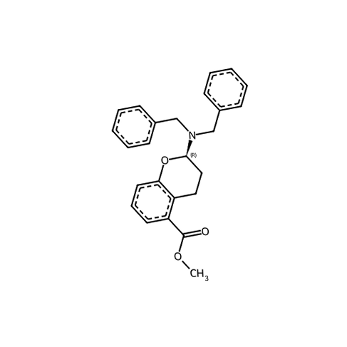 COC(=O)c1cccc2c1CC[C@H](N(Cc1ccccc1)Cc1ccccc1)O2